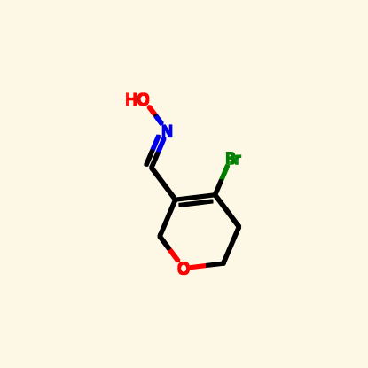 O/N=C/C1=C(Br)CCOC1